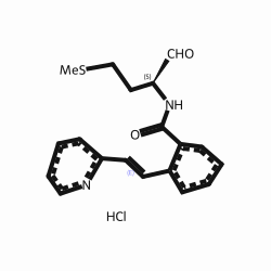 CSCC[C@@H](C=O)NC(=O)c1ccccc1/C=C/c1ccccn1.Cl